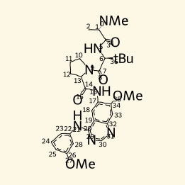 CN[C@@H](C)C(=O)N[C@H](C(=O)N1CCCC1C(=O)Nc1cc2c(Nc3cccc(OC)c3)ncnc2cc1OC)C(C)(C)C